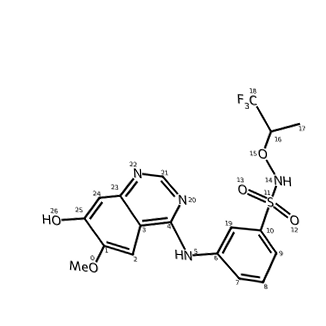 COc1cc2c(Nc3cccc(S(=O)(=O)NOC(C)C(F)(F)F)c3)ncnc2cc1O